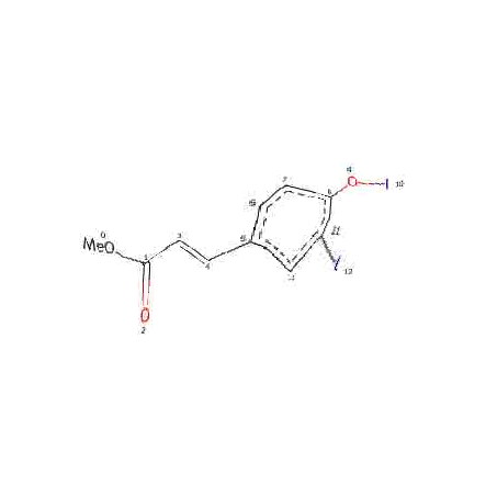 COC(=O)/C=C/c1ccc(OI)c(I)c1